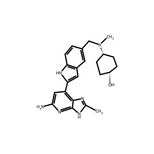 Cc1nc2c(-c3cc4cc(CN(C)[C@H]5CC[C@@H](O)CC5)ccc4[nH]3)cc(N)nc2[nH]1